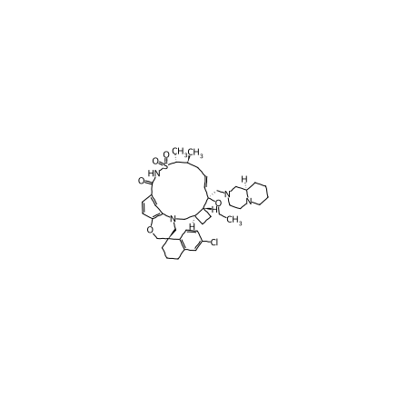 CCO[C@]1(CN2CCN3CCCC[C@@H]3C2)/C=C/C[C@H](C)[C@@H](C)S(=O)(=O)NC(=O)c2ccc3c(c2)N(C[C@@H]2CC[C@H]21)C[C@@]1(CCCc2cc(Cl)ccc21)CO3